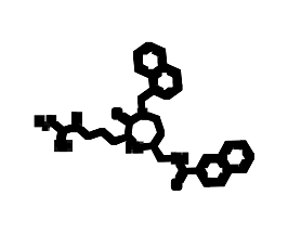 N=C(N)NCCC[C@@H]1N[C@H](CNC(=O)c2ccc3ccccc3c2)CCN(Cc2cccc3ccccc23)C1=O